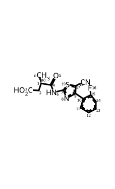 C[C@H](CC(=O)O)C(=O)Nc1nc(-c2ccccc2F)c(C#N)s1